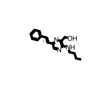 CCCCNc1ncc(/C=C/c2ccccc2)nc1CO